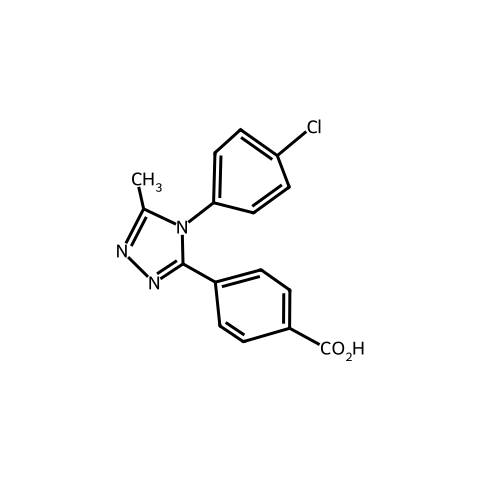 Cc1nnc(-c2ccc(C(=O)O)cc2)n1-c1ccc(Cl)cc1